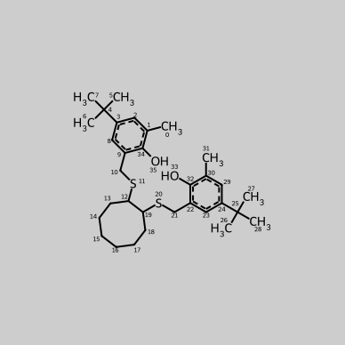 Cc1cc(C(C)(C)C)cc(CSC2CCCCCCC2SCc2cc(C(C)(C)C)cc(C)c2O)c1O